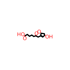 O=C(O)CCCCC(=O)CC1=CC(O)CC1=O